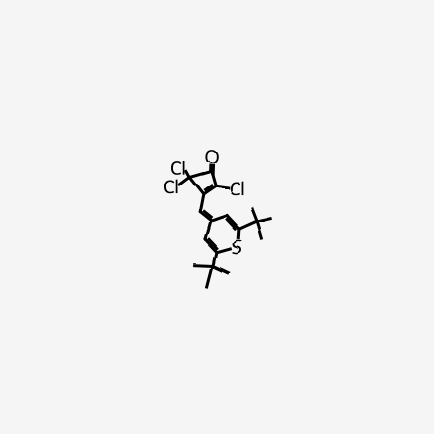 CC(C)(C)C1=CC(=CC2=C(Cl)C(=O)C2(Cl)Cl)C=C(C(C)(C)C)S1